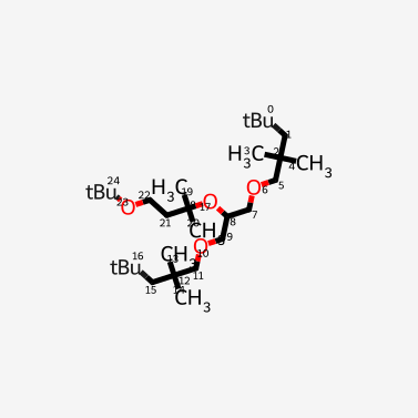 CC(C)(C)CC(C)(C)COCC(COCC(C)(C)CC(C)(C)C)OC(C)(C)CCOC(C)(C)C